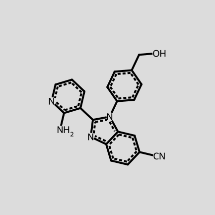 N#Cc1ccc2nc(-c3cccnc3N)n(-c3ccc(CO)cc3)c2c1